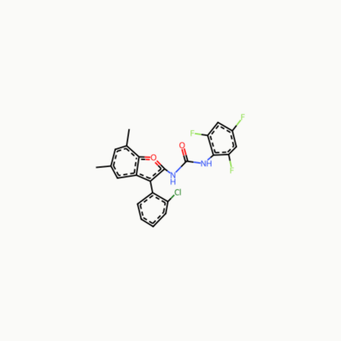 Cc1cc(C)c2oc(NC(=O)Nc3c(F)cc(F)cc3F)c(-c3ccccc3Cl)c2c1